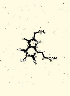 CCn1c(=O)c2c(C)c(CN)sc2n(CCOC)c1=O